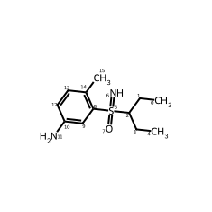 CCC(CC)S(=N)(=O)c1cc(N)ccc1C